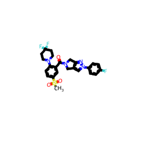 CS(=O)(=O)c1ccc(N2CCC(F)(F)CC2)c(C(=O)N2Cc3cn(-c4ccc(F)cc4)nc3C2)c1